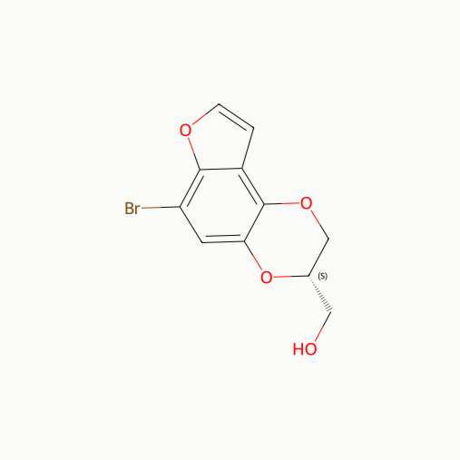 OC[C@H]1COc2c(cc(Br)c3occc23)O1